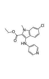 CCOC(=O)c1c(Nc2ccncc2)c2ccc(Cl)cc2n1C